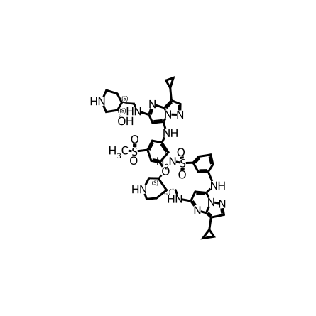 CS(=O)(=O)c1cc(Nc2cc(NC[C@@H]3CCNC[C@H]3O)nc3c(C4CC4)cnn23)cc(O[C@@H]2CNCC[C@H]2CNc2cc(Nc3cccc(S(N)(=O)=O)c3)n3ncc(C4CC4)c3n2)c1